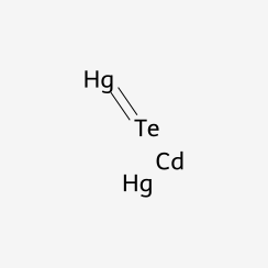 [Cd].[Hg].[Te]=[Hg]